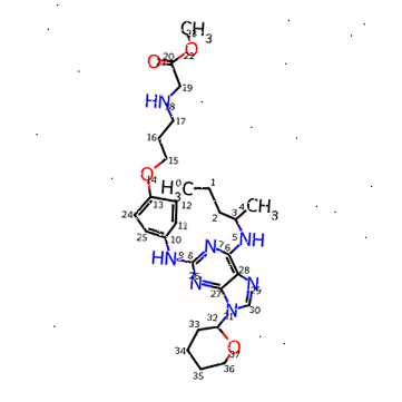 CCCC(C)Nc1nc(Nc2ccc(OCCCNCC(=O)OC)cc2)nc2c1ncn2C1CCCCO1